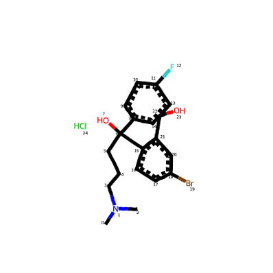 CN(C)CCCC(O)(c1ccc(F)cc1)c1ccc(Br)cc1CO.Cl